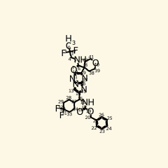 CC(F)(F)CNC(=O)C1(c2cnn3cc([C@@H](NC(=O)OCc4ccccc4)C4CCC(F)(F)CC4)nc3n2)CCOCC1